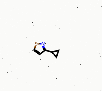 [c]1cc(C2CC2)ns1